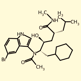 CNC(=O)[C@H](CC(C)C)C[C@H](O)[C@H](CC1CCCCC1)N(C(C)=O)c1c[nH]c2ccc(Br)cc12